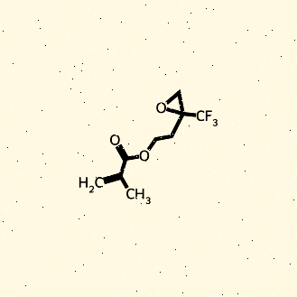 C=C(C)C(=O)OCCC1(C(F)(F)F)CO1